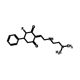 CN(C)CCNC/C=C1\C(=O)CC(c2ccccc2)C(F)C1=O